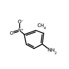 C.Nc1ccc([N+](=O)[O-])cc1